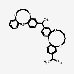 CC(C)c1ccc2c(c1)OCCCCOc1cc(C(C)c3ccc4c(c3)OCCCOc3ccccc3S4)ccc1S2